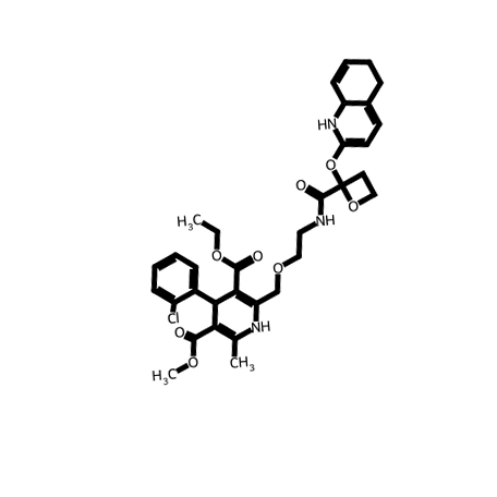 CCOC(=O)C1=C(COCCNC(=O)C2(OC3=CC=C4CCC=CC4N3)CCO2)NC(C)=C(C(=O)OC)C1c1ccccc1Cl